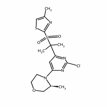 Cc1csc(S(=O)(=O)C(C)(C)c2cc(N3CCOC[C@@H]3C)nc(Cl)n2)n1